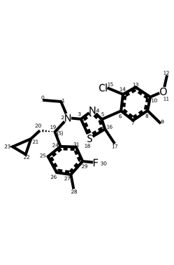 CCN(c1nc(-c2cc(C)c(OC)cc2Cl)c(C)s1)[C@@H](CC1CC1)c1ccc(C)c(F)c1